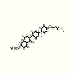 C=CCOc1ccc(-c2ccc(-c3ccc4cc(CCCCCC)ccc4c3F)cc2)cc1